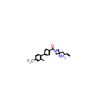 C=CCCC1(N)CN(C(=O)c2ccc(-c3ccc(C(F)(F)F)cc3C)cc2)C1